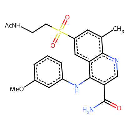 COc1cccc(Nc2c(C(N)=O)cnc3c(C)cc(S(=O)(=O)CCNC(C)=O)cc23)c1